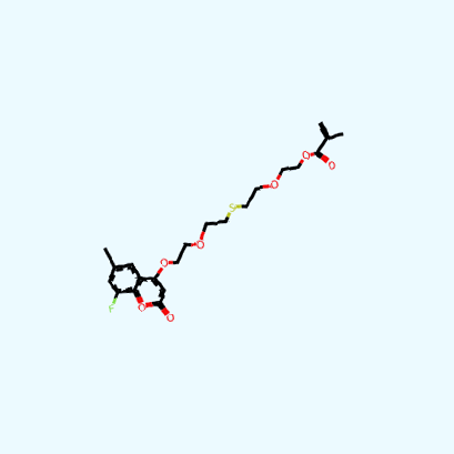 C=C(C)C(=O)OCCOCCSCCOCCOc1cc(=O)oc2c(F)cc(C)cc12